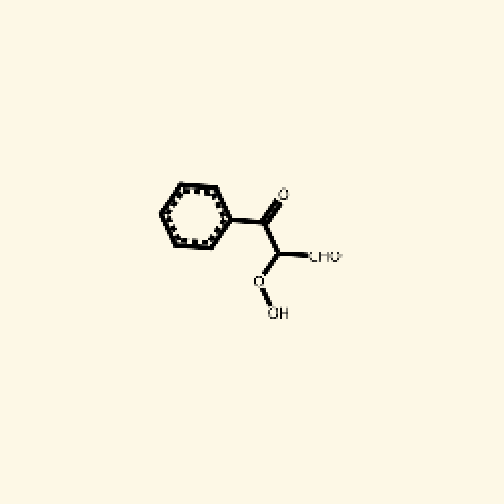 O=[C]C(OO)C(=O)c1ccccc1